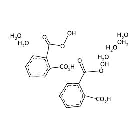 O.O.O.O.O.O.O=C(O)c1ccccc1C(=O)OO.O=C(O)c1ccccc1C(=O)OO